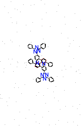 c1ccc(-c2ccc(-c3cc(-c4nc(-c5ccccc5)nc(-c5ccccc5)n4)ccc3-c3ccccc3)c(-c3nc(-c4ccccc4)ccc3-c3cc(-c4nc(-c5ccccc5)nc(-c5ccccc5)n4)ccc3-c3ccccc3)n2)cc1